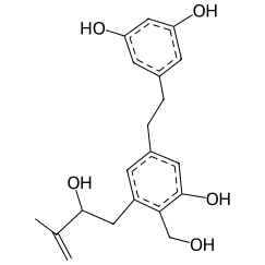 C=C(C)C(O)Cc1cc(CCc2cc(O)cc(O)c2)cc(O)c1CO